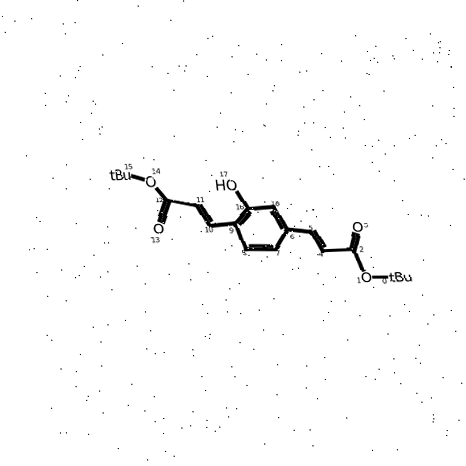 CC(C)(C)OC(=O)/C=C/c1ccc(/C=C/C(=O)OC(C)(C)C)c(O)c1